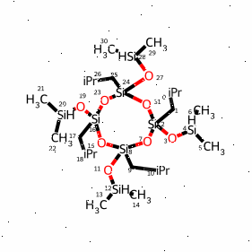 CC(C)C[Si]1(O[SiH](C)C)O[Si](CC(C)C)(O[SiH](C)C)O[Si](CC(C)C)(O[SiH](C)C)O[Si](CC(C)C)(O[SiH](C)C)O1